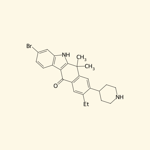 CCc1cc2c(cc1C1CCNCC1)C(C)(C)c1[nH]c3cc(Br)ccc3c1C2=O